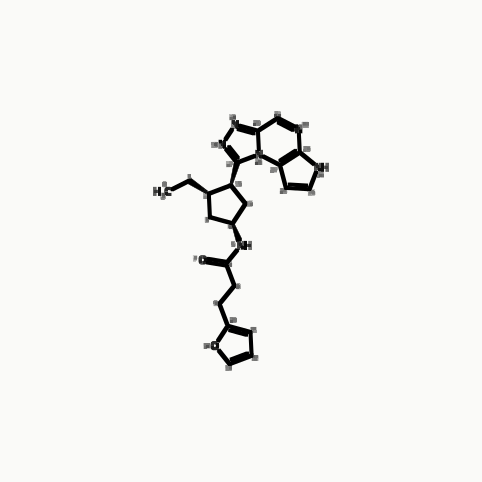 CC[C@@H]1C[C@H](NC(=O)CCc2ccco2)C[C@@H]1c1nnc2cnc3[nH]ccc3n12